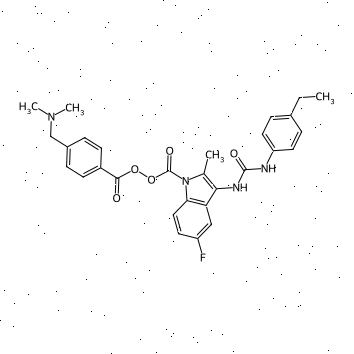 CCc1ccc(NC(=O)Nc2c(C)n(C(=O)OOC(=O)c3ccc(CN(C)C)cc3)c3ccc(F)cc23)cc1